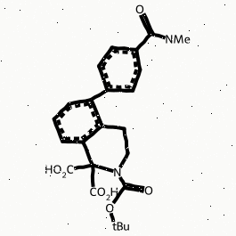 CNC(=O)c1ccc(-c2cccc3c2CCN(C(=O)OC(C)(C)C)C3(C(=O)O)C(=O)O)cc1